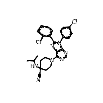 CC(C)NC1(C#N)CCN(c2ncnc3c2nc(-c2ccccc2Cl)n3-c2ccc(Cl)cc2)CC1